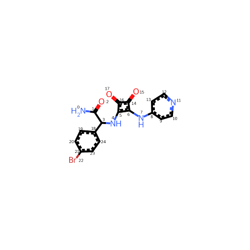 NC(=O)C(Nc1c(Nc2ccncc2)c(=O)c1=O)c1ccc(Br)cc1